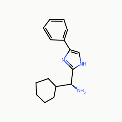 N[C@H](c1nc(-c2ccccc2)c[nH]1)C1CCCCC1